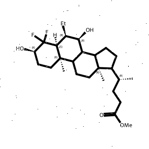 CC[C@@H]1[C@@H]2C(F)(F)[C@H](O)CC[C@]2(C)C2CC[C@@]3(C)C(CCC3[C@H](C)CCC(=O)OC)C2[C@@H]1O